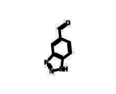 O=[C]c1ccc2[nH]nnc2c1